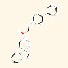 O=C(COc1ccc(-c2ccccc2)cc1)N1CCC2(C=CC3C=CC=CC32)CC1